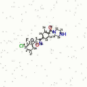 Cc1cc(Cl)cc(C2(C(F)(F)F)CC(c3ccc(C(=O)N4CCNCC4)c(C)c3)=NO2)c1